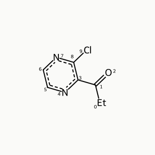 CCC(=O)c1nccnc1Cl